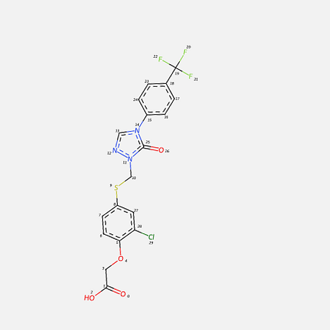 O=C(O)COc1ccc(SCn2ncn(-c3ccc(C(F)(F)F)cc3)c2=O)cc1Cl